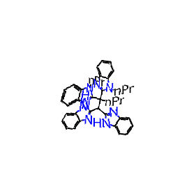 CCCn1c(C(CCC)(c2nc3ccccc3n2CCC)C(c2nc3ccccc3[nH]2)c2nc3ccccc3[nH]2)nc2ccccc21